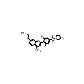 Cc1cc(-c2c(F)cc(S(=O)(=O)N3CC[C@H](F)C3)cc2F)nc2cc(CCC(=O)O)ccc12